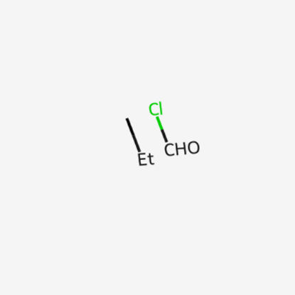 CCC.O=CCl